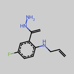 C=CCNc1ccc(F)cc1C(=C)NN